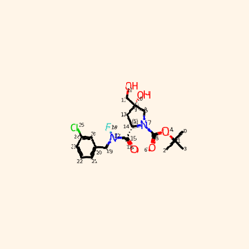 CC(C)(C)OC(=O)N1C[C@](O)(CO)C[C@H]1C(=O)N(F)Cc1cccc(Cl)c1